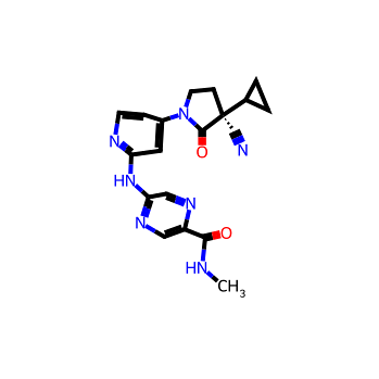 CNC(=O)c1cnc(Nc2cc(N3CC[C@@](C#N)(C4CC4)C3=O)ccn2)cn1